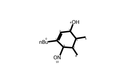 CCCCC1=CC(O)C(C)C(C)C1N=O